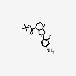 CC(C)(C)OC(=O)N1CCOC2CN(c3ccc(N)cc3F)CC21